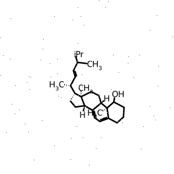 CC(C)C(C)C=C[C@@H](C)[C@H]1CC[C@H]2C3=CC=C4CCCC(O)[C@]4(C)[C@H]3CC[C@]12C